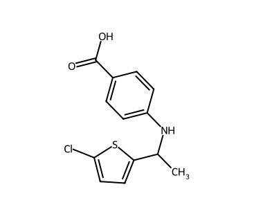 CC(Nc1ccc(C(=O)O)cc1)c1ccc(Cl)s1